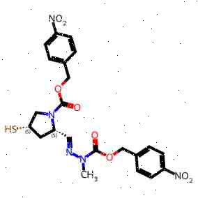 CN(N=C[C@@H]1C[C@H](S)CN1C(=O)OCc1ccc([N+](=O)[O-])cc1)C(=O)OCc1ccc([N+](=O)[O-])cc1